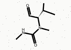 CNC(=O)N(C)[C@H](C=O)C(C)C